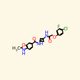 CC1Nc2ccc(C(=O)NC34CC(NC(=O)COc5ccc(Cl)c(F)c5)(C3)C4)cc2O1